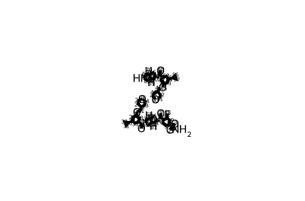 NS(=O)(=O)c1ccc(C(=O)N2C[C@H]3CN(C(=O)c4cc(OCC5CCOCC5)cc(C5CC5)c4)C[C@@H]3C2)c(F)c1.O=C(c1cc(OCC2CCOCC2)cc(C2CC2)c1)N1C[C@@H]2CNC[C@H]2C1